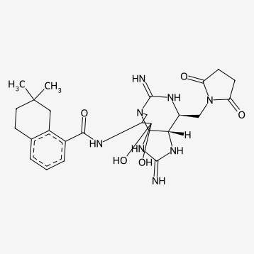 CC1(C)CCc2cccc(C(=O)NC3CN4C(=N)N[C@@H](CN5C(=O)CCC5=O)[C@@H]5NC(=N)NC54C3(O)O)c2C1